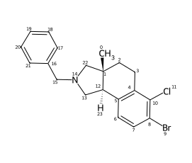 C[C@@]12CCc3c(ccc(Br)c3Cl)[C@H]1CN(Cc1ccccc1)C2